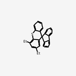 CCc1cc(CC)c2c(c1)C1(c3ccccc3S2)c2ccccc2-c2ccccc21